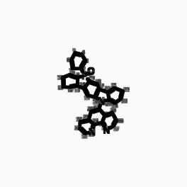 O=P1(c2ccccc2)c2ccccc2-c2cc3c(cc21)c1ccccc1n3-c1cc2cccnc2c2ncccc12